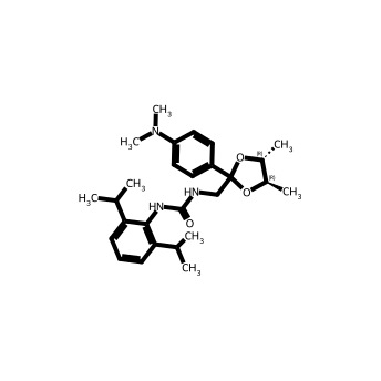 CC(C)c1cccc(C(C)C)c1NC(=O)NCC1(c2ccc(N(C)C)cc2)O[C@H](C)[C@@H](C)O1